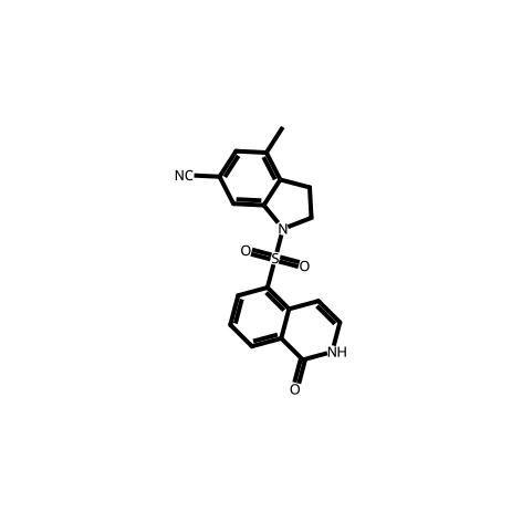 Cc1cc(C#N)cc2c1CCN2S(=O)(=O)c1cccc2c(=O)[nH]ccc12